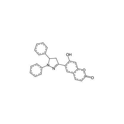 O=c1ccc2cc(C3=NN(c4ccccc4)C(c4ccccc4)C3)c(O)cc2o1